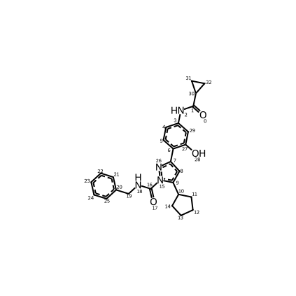 O=C(Nc1ccc(-c2cc(C3CCCC3)n(C(=O)NCc3ccccc3)n2)c(O)c1)C1CC1